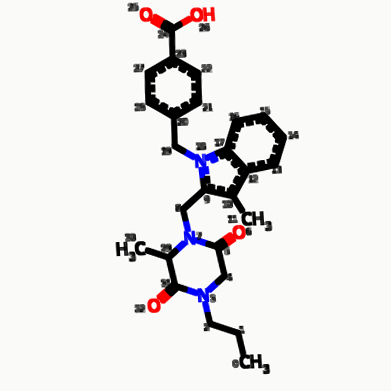 CCCN1CC(=O)N(Cc2c(C)c3ccccc3n2Cc2ccc(C(=O)O)cc2)C(C)C1=O